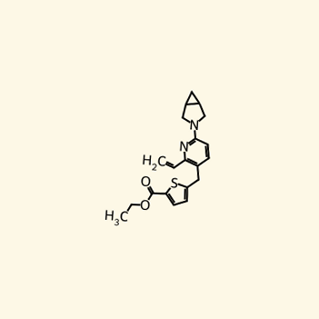 C=Cc1nc(N2CC3CC3C2)ccc1Cc1ccc(C(=O)OCC)s1